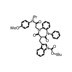 COc1ccc(N(C(=O)CN2C(=O)C(Cc3cn(C(=O)OC(C)(C)C)c4ccccc34)C(=O)N(c3ccccc3)c3ccccc32)C(C)C)cc1